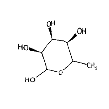 CC1OC(O)[C@@H](O)[C@@H](O)[C@H]1O